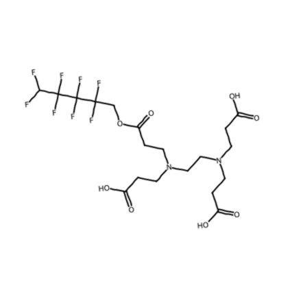 O=C(O)CCN(CCC(=O)O)CCN(CCC(=O)O)CCC(=O)OCC(F)(F)C(F)(F)C(F)(F)C(F)F